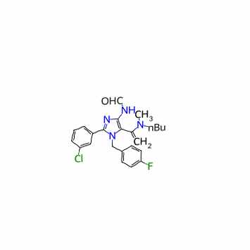 C=C(c1c(NC=O)nc(-c2cccc(Cl)c2)n1Cc1ccc(F)cc1)N(C)CCCC